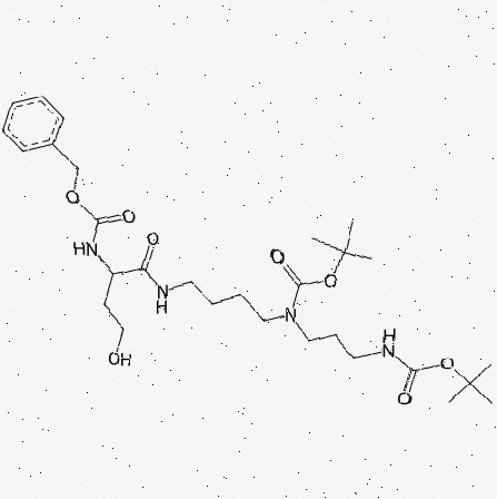 CC(C)(C)OC(=O)NCCCN(CCCCNC(=O)C(CCO)NC(=O)OCc1ccccc1)C(=O)OC(C)(C)C